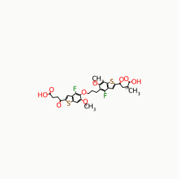 COc1cc2sc(C(=O)C[C@H](C)C(=O)O)cc2c(F)c1CCCOc1c(OC)cc2sc(C(=O)CCC(=O)O)cc2c1F